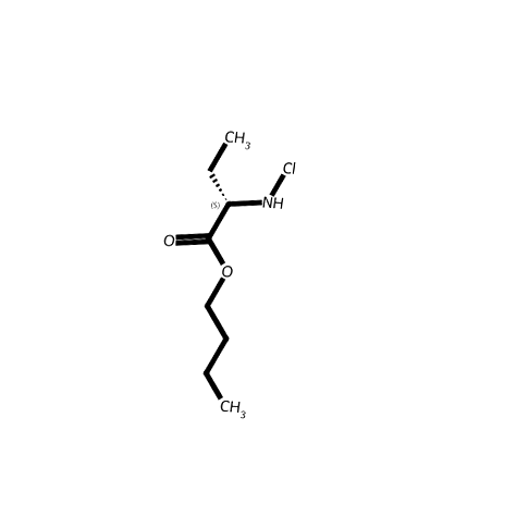 CCCCOC(=O)[C@H](CC)NCl